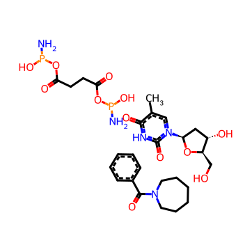 Cc1cn([C@H]2C[C@H](O)[C@@H](CO)O2)c(=O)[nH]c1=O.NP(O)OC(=O)CCC(=O)OP(N)O.O=C(c1ccccc1)N1CCCCCC1